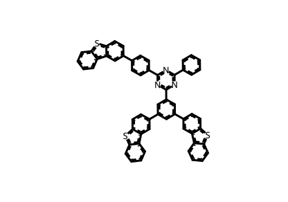 c1ccc(-c2nc(-c3ccc(-c4ccc5sc6ccccc6c5c4)cc3)nc(-c3cc(-c4ccc5sc6ccccc6c5c4)cc(-c4ccc5sc6ccccc6c5c4)c3)n2)cc1